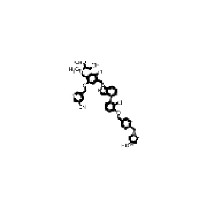 CN(Cc1cc(Cl)c(Cn2ncc3c(-c4cccc(OCc5ccc(CN6CC[C@@H](O)C6)cc5)c4Cl)cccc32)cc1OCc1cncc(C#N)c1)C(C=O)CO